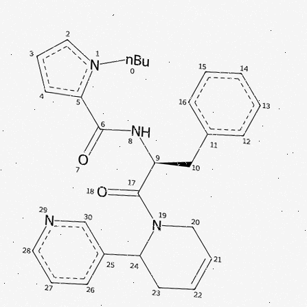 CCCCn1cccc1C(=O)N[C@@H](Cc1ccccc1)C(=O)N1CC=CCC1c1cccnc1